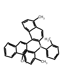 Cc1ccccc1N(c1ccccc1C)c1ccc2c(C)cccc2c1-c1cc(C)c2ccccc2c1